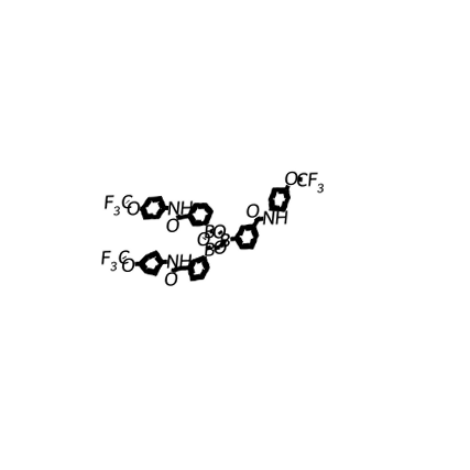 O=C(Nc1ccc(OC(F)(F)F)cc1)c1cccc(B2OB(c3cccc(C(=O)Nc4ccc(OC(F)(F)F)cc4)c3)OB(c3cccc(C(=O)Nc4ccc(OC(F)(F)F)cc4)c3)O2)c1